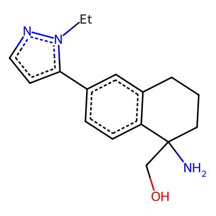 CCn1nccc1-c1ccc2c(c1)CCCC2(N)CO